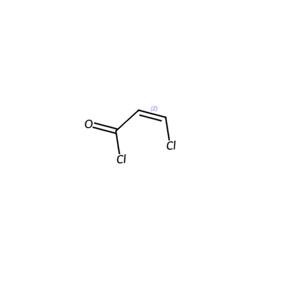 O=C(Cl)/C=C\Cl